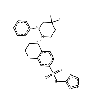 O=S(=O)(Nc1ncns1)c1ccc2c(c1)OCC[C@@H]2N1CCC(F)(F)C[C@H]1c1ccccc1